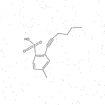 CCCCC#Cc1cc(C)ccc1S(=O)(=O)O